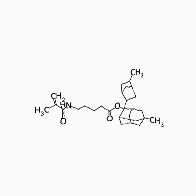 C=C(C)C(=O)NCCCCC(=O)OC1(C2CC3CC2CC3C)C2CC3CC1CC(C)(C3)C2